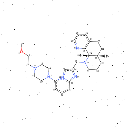 COCCN1CCN(c2cccc3nc(CN4CCC[C@H]5CCc6cccnc6[C@H]54)cn23)CC1